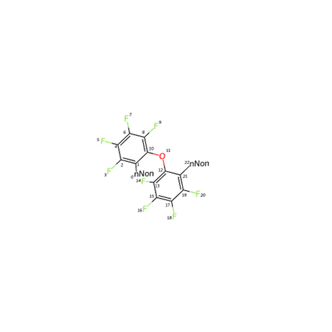 CCCCCCCCCc1c(F)c(F)c(F)c(F)c1Oc1c(F)c(F)c(F)c(F)c1CCCCCCCCC